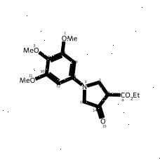 CCOC(=O)C1CN(c2cc(OC)c(OC)c(OC)c2)CC1=O